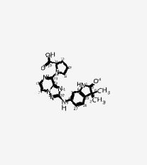 CC1(C)C(=O)Nc2cc(Nc3nc4c(N5CCC[C@@H]5C(=O)O)nccn4n3)ccc21